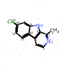 Cc1nccc2c1[nH]c1cc(Cl)ccc12